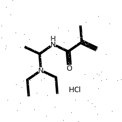 C=C(C)C(=O)NC(C)N(CC)CC.Cl